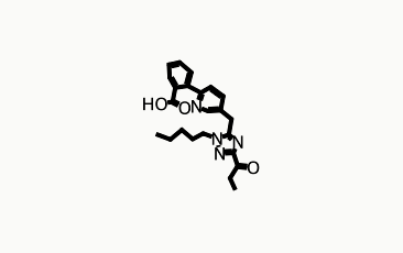 CCCCCn1nc(C(=O)CC)nc1Cc1ccc(-c2ccccc2C(=O)O)nc1